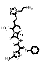 NCCn1nnnc1SCC1=C(C(=O)O)N2C(=O)C(NC(=O)C(=NOc3ccccc3)c3nsc(N)n3)[C@@H]2SC1